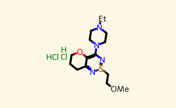 CCN1CCN(C2=C3OCCCC3=NS(CCOC)=N2)CC1.Cl.Cl